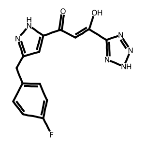 O=C(C=C(O)c1nn[nH]n1)c1cc(Cc2ccc(F)cc2)n[nH]1